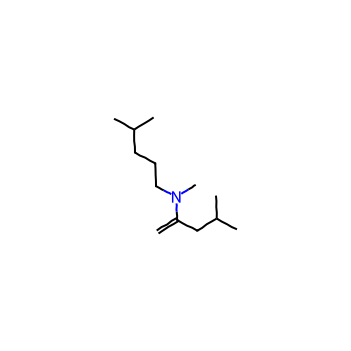 C=C(CC(C)C)N(C)CCCC(C)C